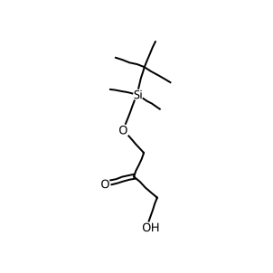 CC(C)(C)[Si](C)(C)OCC(=O)CO